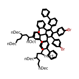 CCCCCCCCCCCCC(CCCCCCCCCC)CC(CCCCCCCC)CCCc1ccccc1-c1c(-c2cccc(-c3ccccc3)c2)c(-c2ccc(Br)cc2)c(-c2ccc(Br)cc2)c(-c2cccc(-c3ccccc3)c2)c1-c1ccccc1CCCC(CCCCCCCC)CC(CCCCCCCCCC)CCCCCCCCCCCC